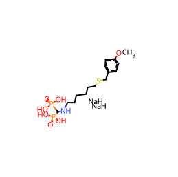 COc1ccc(CSCCCCCCNC(P(=O)(O)O)P(=O)(O)O)cc1.[NaH].[NaH]